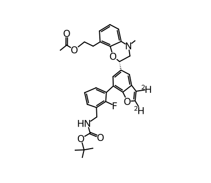 [2H]c1oc2c(-c3cccc(CNC(=O)OC(C)(C)C)c3F)cc([C@H]3CN(C)c4cccc(CCOC(C)=O)c4O3)cc2c1[2H]